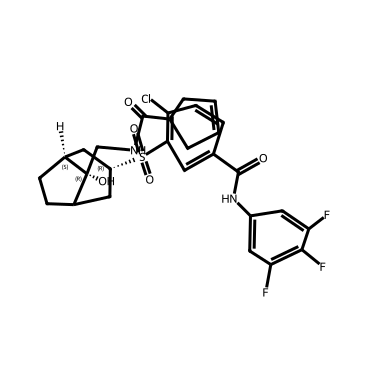 O=C(Nc1cc(F)c(F)c(F)c1)c1ccc(Cl)c(S(=O)(=O)[C@@H]2CC3CC[C@@H](C2)[C@@]3(O)CNC(=O)C2CC=CC2)c1